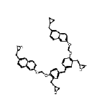 c1cc(OCOc2ccc3cc(CC4CC4)ccc3c2)c(CC2CO2)cc1Cc1ccc(OCOc2ccc3cc(CC4CO4)ccc3c2)c(CC2CO2)c1